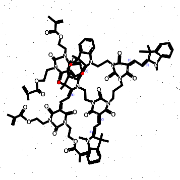 C=C(C)C(=O)OCCN1C(=O)C(=C/C=C2/N(CCN3C(=O)/C(=C\C=C4\N(C)c5ccccc5C4(C)C)C(=O)N(CCCN4C(=O)/C(=C\C=C5\N(C)c6ccccc6C5(C)C)C(=O)N(CCN5/C(=C/C=C6C(=O)N(CCOC(=O)C(=C)C)C(=O)N(CCOC(=O)C(=C)C)C6=O)C(C)(C)c6ccccc65)C4=O)C3=O)c3ccccc3C2(C)C)C(=O)N(CCOC(=O)C(=C)C)C1=O